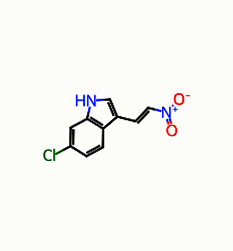 O=[N+]([O-])C=Cc1c[nH]c2cc(Cl)ccc12